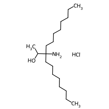 CCCCCCCCC(N)(CCCCCCCC)C(C)O.Cl